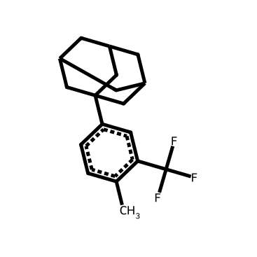 Cc1ccc(C23CC4CC(CC(C4)C2)C3)cc1C(F)(F)F